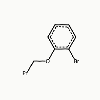 C[C](C)COc1ccccc1Br